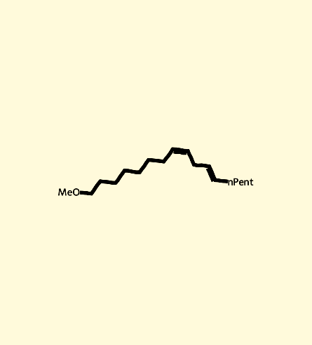 [CH2]OCCCCCCC/C=C\CC=CCCCCC